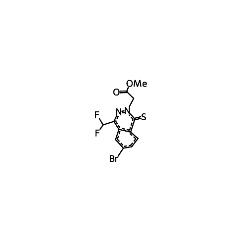 COC(=O)Cn1nc(C(F)F)c2cc(Br)ccc2c1=S